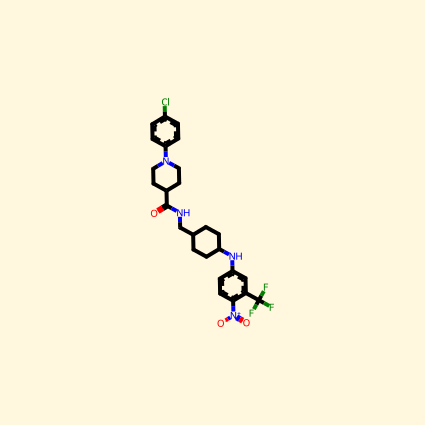 O=C(NCC1CCC(Nc2ccc([N+](=O)[O-])c(C(F)(F)F)c2)CC1)C1CCN(c2ccc(Cl)cc2)CC1